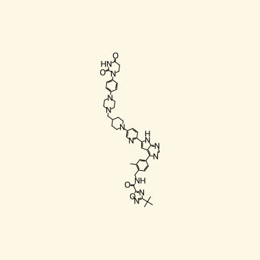 Cc1cc(-c2ncnc3[nH]c(-c4ccc(N5CCC(CN6CCN(c7ccc(N8CCC(=O)NC8=O)cc7)CC6)CC5)cn4)cc23)ccc1CNC(=O)c1nc(C(C)(C)C)no1